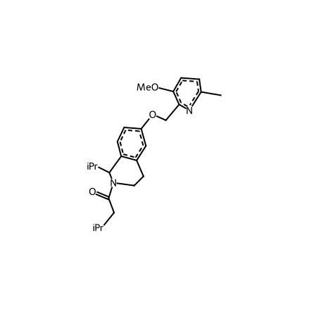 COc1ccc(C)nc1COc1ccc2c(c1)CCN(C(=O)CC(C)C)C2C(C)C